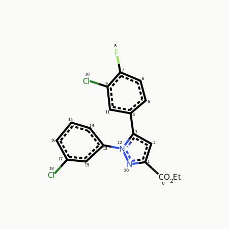 CCOC(=O)c1cc(-c2ccc(F)c(Cl)c2)n(-c2cccc(Cl)c2)n1